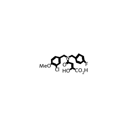 COc1ccc(CN(Cc2ccc(F)cc2)C(=O)/C=C(\O)C(=O)O)cc1Cl